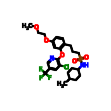 COCCOc1ccc(CCCS(=O)(=O)NC2CCC(C)CC2)c(Oc2ncc(C(F)(F)F)cc2Cl)c1